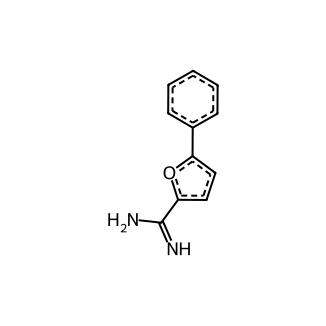 N=C(N)c1ccc(-c2ccccc2)o1